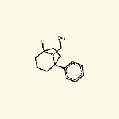 CC(=O)OCN1[C@@H]2CCC[C@@]1(c1ccccc1)CC2